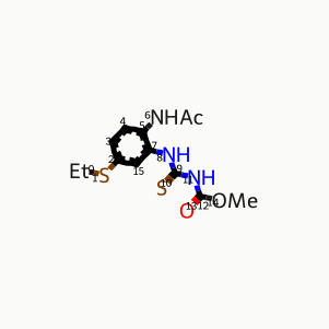 CCSc1ccc(NC(C)=O)c(NC(=S)NC(=O)OC)c1